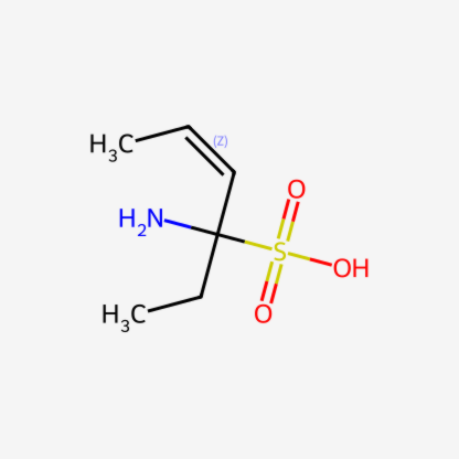 C/C=C\C(N)(CC)S(=O)(=O)O